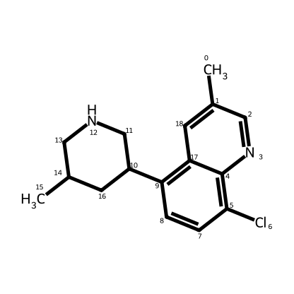 Cc1cnc2c(Cl)ccc(C3CNCC(C)C3)c2c1